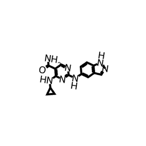 NC(=O)c1cnc(Nc2ccc3[nH]ncc3c2)nc1NC1CC1